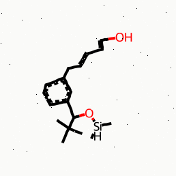 C[SiH](C)OC(c1cccc(CC=CC=CO)c1)C(C)(C)C